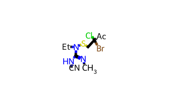 CCN(SCC(Cl)(Br)C(C)=O)C(=NC)NC#N